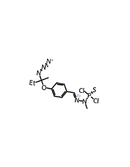 CCC(C)(N=[N+]=[N-])Oc1ccc(/C=N/N(C)P(=S)(Cl)Cl)cc1